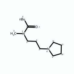 CCCCC(=O)N(C)CCCN1CCCC1